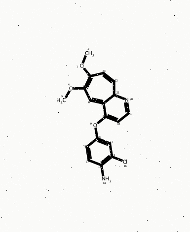 COC1=C(OC)C=C2C(Oc3ccc(N)c(Cl)c3)=CC=NC2C=C1